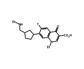 CCNCC1CCC(c2cc3c(cc2F)c(=O)c(C(=O)O)cn3CC)C1